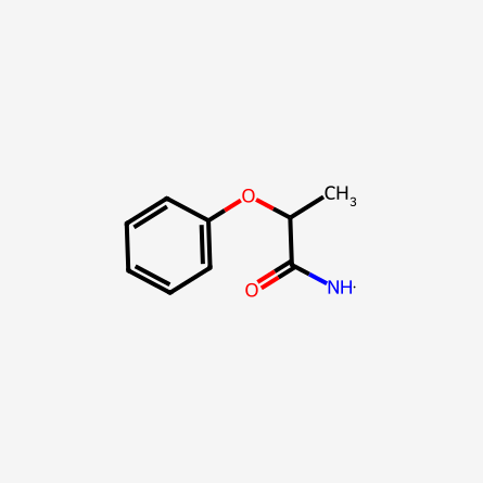 CC(Oc1ccccc1)C([NH])=O